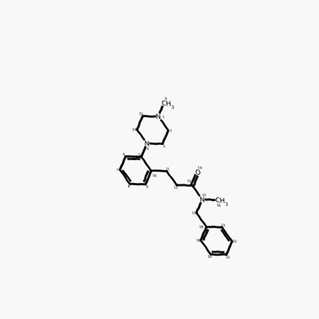 CN1CCN(c2ccccc2CCC(=O)N(C)Cc2ccccc2)CC1